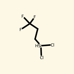 FC(F)(F)CC[SiH](Cl)Cl